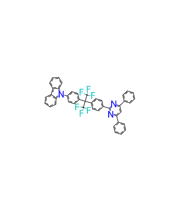 FC(F)(F)C(c1ccc(-c2nc(-c3ccccc3)cc(-c3ccccc3)n2)cc1)(c1ccc(-n2c3ccccc3c3ccccc32)cc1)C(F)(F)F